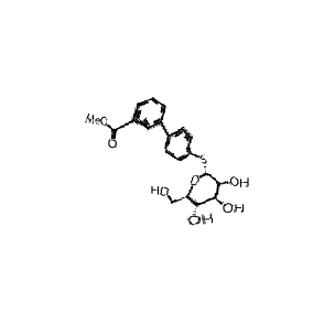 COC(=O)c1cccc(-c2ccc(S[C@H]3O[C@H](CO)[C@@H](O)[C@H](O)[C@@H]3O)cc2)c1